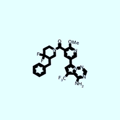 COc1ncc(-c2cc(C(F)(F)F)c3c(N)ncnn23)cc1C(=O)N1CCC(F)(F)C(Cc2ccccc2)C1